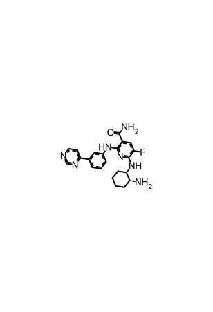 NC(=O)c1cc(F)c(N[C@@H]2CCCC[C@@H]2N)nc1Nc1cccc(-c2ccncn2)c1